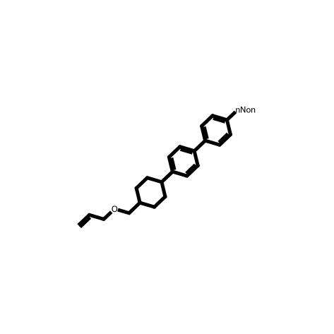 C=CCOCC1CCC(c2ccc(-c3ccc(CCCCCCCCC)cc3)cc2)CC1